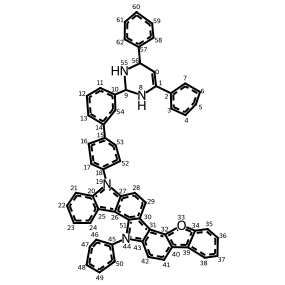 C1=C(c2ccccc2)NC(c2cccc(-c3ccc(-n4c5ccccc5c5c4ccc4c6c7oc8ccccc8c7ccc6n(-c6ccccc6)c45)cc3)c2)NC1c1ccccc1